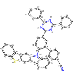 N#Cc1ccc(-c2cc(-c3nc(-c4ccccc4)nc(-c4ccccc4)n3)ccc2-n2c3ccccc3c3cc4sc5ccccc5c4cc32)cc1